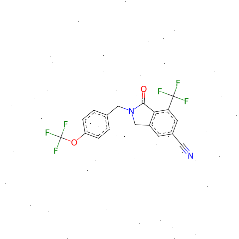 N#Cc1cc2c(c(C(F)(F)F)c1)C(=O)N(Cc1ccc(OC(F)(F)F)cc1)C2